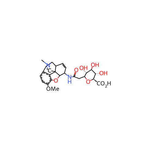 COc1ccc2c3c1OC1C(NC(=O)CC4O[C@H](C(=O)O)[C@@H](O)[C@H](O)[C@H]4O)C=CC4C(C2)N(C)CCC341